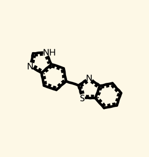 c1ccc2sc(-c3ccc4nc[nH]c4c3)nc2c1